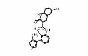 Cc1cscc1-c1ccnc(N[C@@H](C)c2cc3cc(Cl)ccc3[nH]c2=O)c1F